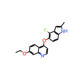 CCOc1[c]cc2c(Oc3ccc4[nH]c(C)cc4c3F)ccnc2c1